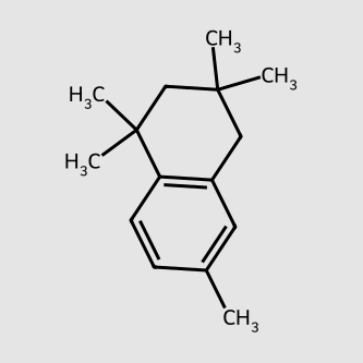 Cc1ccc2c(c1)CC(C)(C)CC2(C)C